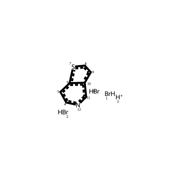 Br.Br.Br.[H+].c1cc2sccc2cn1